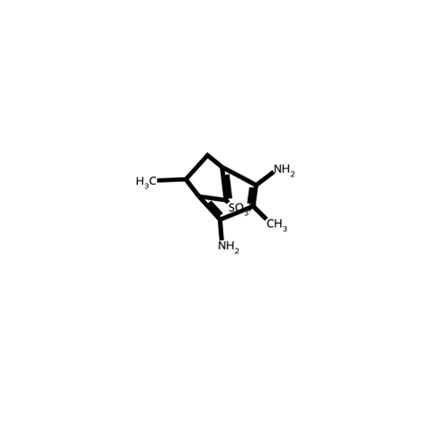 Cc1c(N)c2c(S(=O)(=O)O)c(c1N)C(C)C2